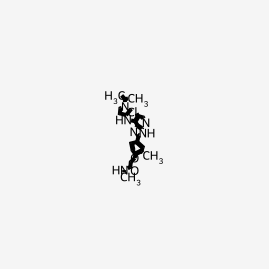 CNC(=O)COc1ccc(-c2nc3c(NC4CCN(C(C)C)C4)c(Cl)cnc3[nH]2)cc1C